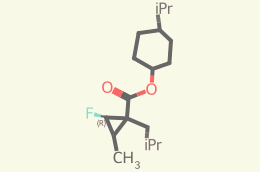 CC(C)CC1(C(=O)OC2CCC(C(C)C)CC2)C(C)[C@H]1F